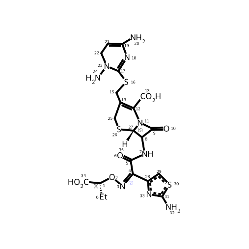 CC[C@@H](O/N=C(\C(=O)NC1C(=O)N2C(C(=O)O)=C(CSC3=NC(N)=CCN3N)CS[C@@H]12)c1csc(N)n1)C(=O)O